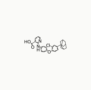 O=C(O)c1cccnc1Nc1ccc(Oc2ccc(C34CC5CC(CC(C5)C3)C4)cc2Cl)cc1